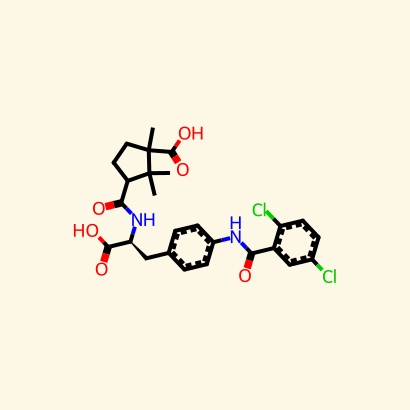 CC1(C(=O)O)CCC(C(=O)N[C@@H](Cc2ccc(NC(=O)c3cc(Cl)ccc3Cl)cc2)C(=O)O)C1(C)C